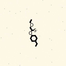 CCOCC([S])OC1CCC(CC)CC1